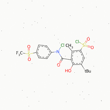 Cc1c(S(=O)(=O)Cl)cc(C(C)(C)C)c(O)c1C(=O)N(Cl)c1ccc(S(=O)(=O)C(F)(F)F)cc1